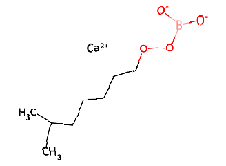 CC(C)CCCCCOOB([O-])[O-].[Ca+2]